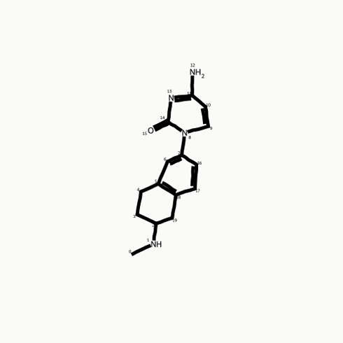 CNC1CCc2cc(-n3ccc(N)nc3=O)ccc2C1